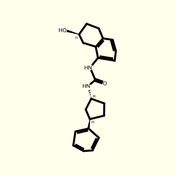 O=C(Nc1cccc2c1C[C@@H](O)CC2)N[C@@H]1CC[C@@H](c2ccccc2)C1